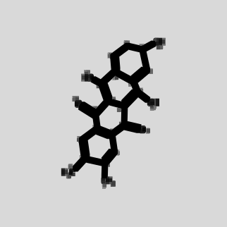 Cc1cc2c(cc1C)C(=O)c1c(c(O)c3c(c1O)=CC(O)CC=3)C2=O